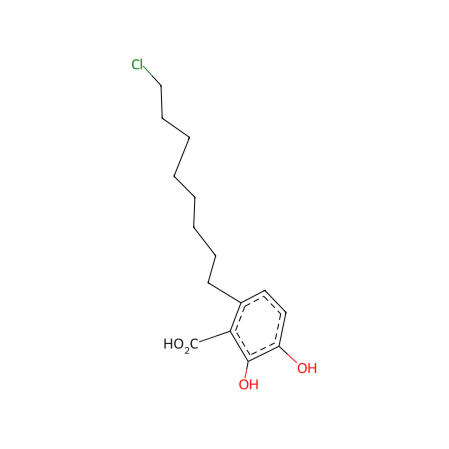 O=C(O)c1c(CCCCCCCCCl)ccc(O)c1O